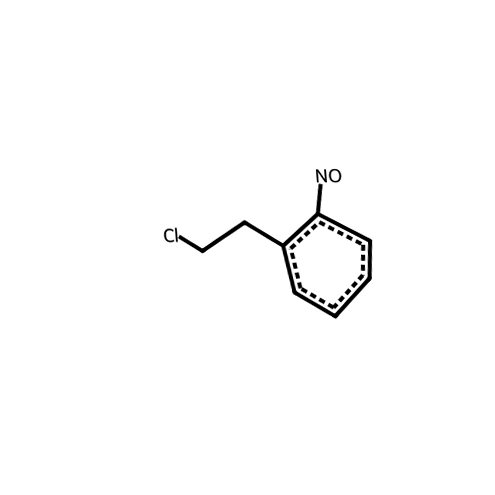 O=Nc1ccccc1CCCl